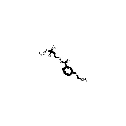 CCOc1cccc(C(=O)OO[CH]CC(C)(C)OC)c1